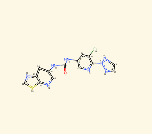 O=C(Nc1cnc(-n2nccn2)c(Cl)c1)Nc1cnc2scnc2c1